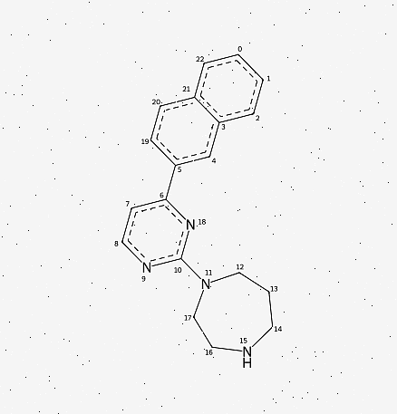 c1ccc2cc(-c3ccnc(N4CCCNCC4)n3)ccc2c1